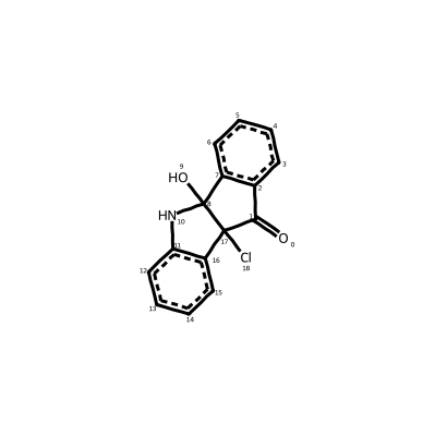 O=C1c2ccccc2C2(O)Nc3ccccc3C12Cl